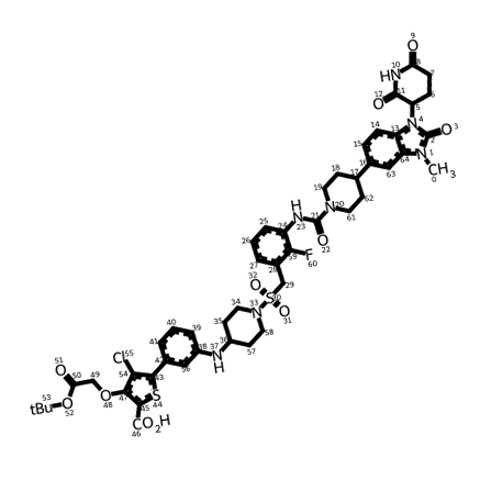 Cn1c(=O)n(C2CCC(=O)NC2=O)c2ccc(C3CCN(C(=O)Nc4cccc(CS(=O)(=O)N5CCC(Nc6cccc(-c7sc(C(=O)O)c(OCC(=O)OC(C)(C)C)c7Cl)c6)CC5)c4F)CC3)cc21